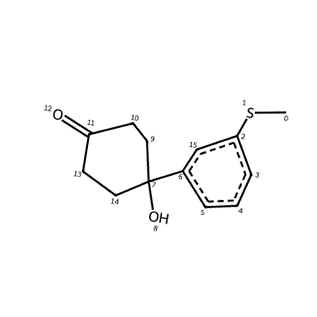 CSc1cccc(C2(O)CCC(=O)CC2)c1